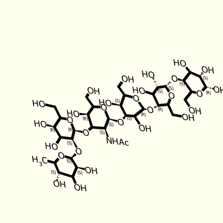 CC(=O)N[C@H]1C(O[C@@H]2OC(CO)[C@H](O)C(O)[C@@H]2O[C@@H]2OC(C)[C@@H](O)C(O)[C@@H]2O)[C@@H](O)C(CO)O[C@H]1O[C@@H]1C(O)[C@@H](O[C@H]2C(CO)O[C@@H](O[C@@H]3C(CO)O[C@@H](O)[C@@H](O)C3O)[C@@H](O)C2O)OC(CO)[C@@H]1O